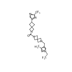 Cc1nn(CC(F)(F)F)cc1CN1CC2(C1)CN(C(=O)N1CC3(CC(n4cnc(C(F)(F)F)n4)C3)C1)C2